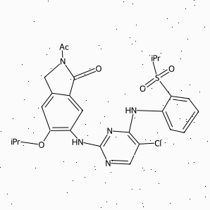 CC(=O)N1Cc2cc(OC(C)C)c(Nc3ncc(Cl)c(Nc4ccccc4S(=O)(=O)C(C)C)n3)cc2C1=O